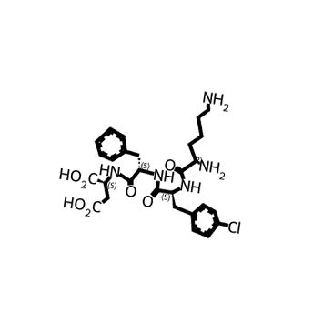 NCCCC[C@@H](N)C(=O)N[C@@H](Cc1ccc(Cl)cc1)C(=O)N[C@@H](Cc1ccccc1)C(=O)N[C@@H](CC(=O)O)C(=O)O